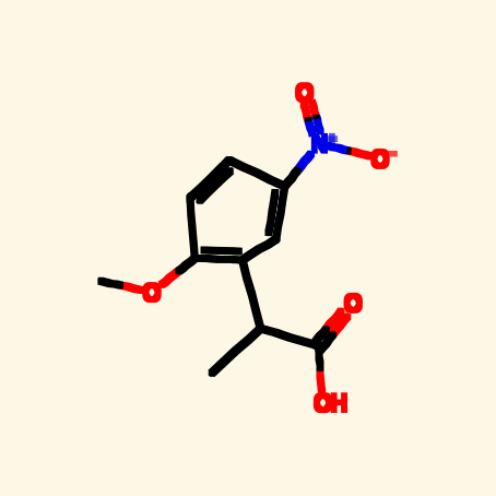 COc1ccc([N+](=O)[O-])cc1C(C)C(=O)O